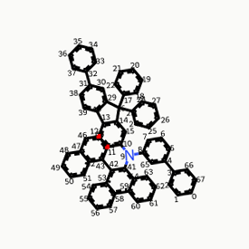 c1ccc(-c2cccc(N(c3ccc4c(c3)C(c3ccccc3)(c3ccccc3)c3cc(-c5ccccc5)ccc3-4)c3c(-c4cccc5ccccc45)c4ccccc4c4ccccc34)c2)cc1